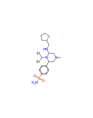 CCC(CC)N1C(NCC2CCCS2)CN(C)CC1c1ccc(S(N)(=O)=O)cc1